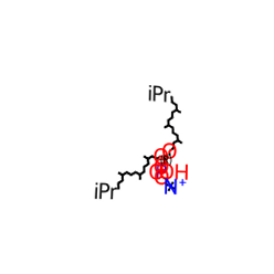 CC(C)CCCC(C)CCCC(C)CCCC(C)CCOC[C@H](COP(=O)(O)OCC[N+](C)(C)C)OCCC(C)CCCC(C)CCCC(C)CCCC(C)C